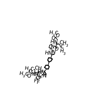 CCC(C)[C@H](NCC(=O)OC)C(=O)N1CCC[C@H]1c1ncc(-c2ccc(-c3ccc(-c4cnc([C@@H]5CC(F)(F)CN5C(=O)[C@@H](NC(=O)OC)C(C)C)[nH]4)cc3)cc2)[nH]1